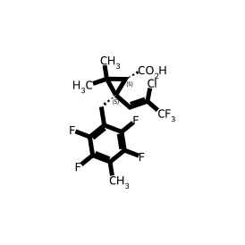 Cc1c(F)c(F)c(C[C@@]2(C=C(Cl)C(F)(F)F)[C@@H](C(=O)O)C2(C)C)c(F)c1F